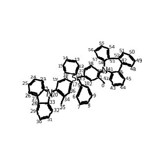 Cc1cc([Si](c2ccccc2)(c2ccccc2)c2ccc(-n3c4ccccc4c4ccccc43)c(C)c2)ccc1N1c2ccccc2-c2ccccc2-c2ccccc21